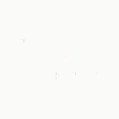 NCC1CCC(Nc2nc3c(F)cccc3o2)CC1